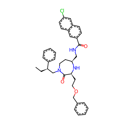 CC[C@H](CN1CC[C@@H](CNC(=O)c2ccc3cc(Cl)ccc3c2)N[C@@H](CCOCc2ccccc2)C1=O)c1ccccc1